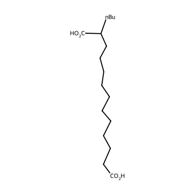 CCCCC(CCCCCCCCCCC(=O)O)C(=O)O